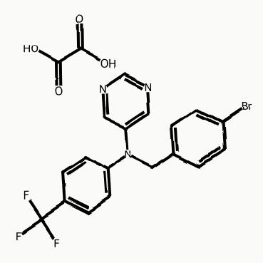 FC(F)(F)c1ccc(N(Cc2ccc(Br)cc2)c2cncnc2)cc1.O=C(O)C(=O)O